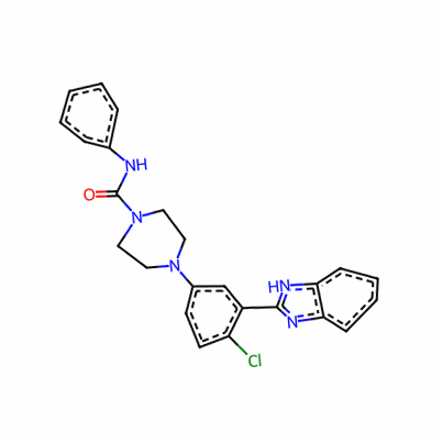 O=C(Nc1ccccc1)N1CCN(c2ccc(Cl)c(-c3nc4ccccc4[nH]3)c2)CC1